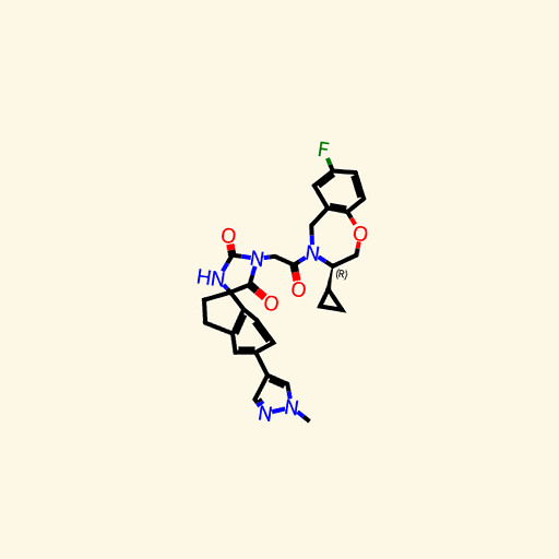 Cn1cc(-c2ccc3c(c2)CCC32NC(=O)N(CC(=O)N3Cc4cc(F)ccc4OC[C@H]3C3CC3)C2=O)cn1